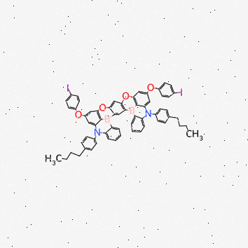 CCCCc1ccc(N2c3ccccc3B3c4cc5c(cc4Oc4cc(Oc6ccc(I)cc6)cc2c43)Oc2cc(Oc3ccc(I)cc3)cc3c2B5c2ccccc2N3c2ccc(CCCC)cc2)cc1